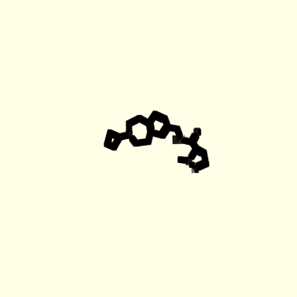 Cn1nccc1C(=O)NCc1ccc2c(c1)CCN(C1CCC1)CC2